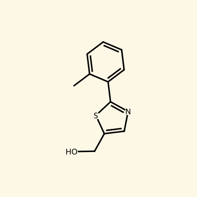 Cc1ccccc1-c1ncc(CO)s1